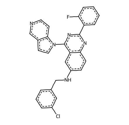 Fc1ccccc1-c1nc(-n2ccc3cnccc32)c2cc(NCc3cccc(Cl)c3)ccc2n1